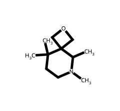 CC1N(C)CCC(C)(C)C12COC2